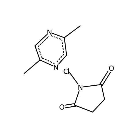 Cc1cnc(C)cn1.O=C1CCC(=O)N1Cl